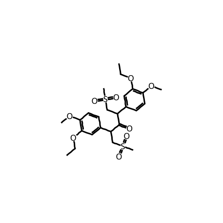 CCOc1cc(C(CS(C)(=O)=O)C(=O)C(CS(C)(=O)=O)c2ccc(OC)c(OCC)c2)ccc1OC